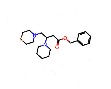 O=C(CC(CN1CCSCC1)N1CCCCC1)OCc1ccccc1